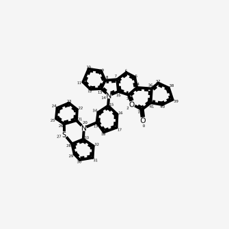 O=c1oc2c(ccc3c4ccccc4n(-c4cccc(N5c6ccccc6Sc6ccccc65)c4)c32)c2ccccc12